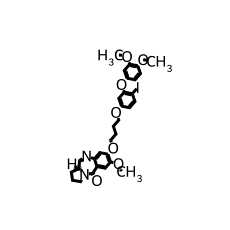 COc1ccc(Oc2cc(OCCCCOc3cc4c(cc3OC)C(=O)N3CCC[C@H]3C=N4)ccc2I)cc1OC